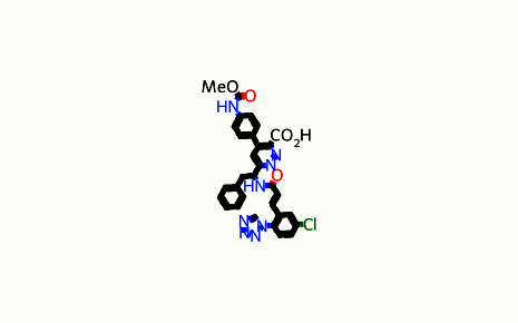 COC(=O)Nc1ccc(-c2cc(C(Cc3ccccc3)NC(=O)/C=C/c3cc(Cl)ccc3-n3cnnn3)nnc2C(=O)O)cc1